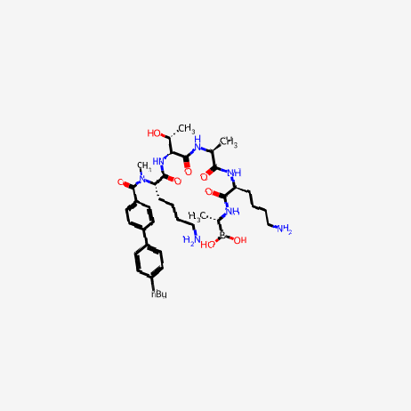 CCCCc1ccc(-c2ccc(C(=O)N(C)[C@@H](CCCCN)C(=O)N[C@H](C(=O)N[C@@H](C)C(=O)N[C@@H](CCCCN)C(=O)N[C@@H](C)B(O)O)[C@@H](C)O)cc2)cc1